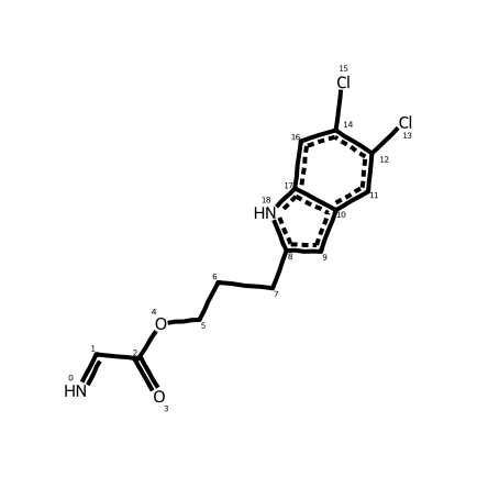 N=CC(=O)OCCCc1cc2cc(Cl)c(Cl)cc2[nH]1